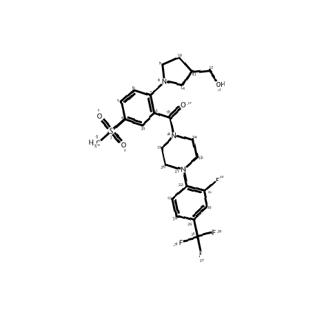 CS(=O)(=O)c1ccc(N2CCC(CO)C2)c(C(=O)N2CCN(c3ccc(C(F)(F)F)cc3F)CC2)c1